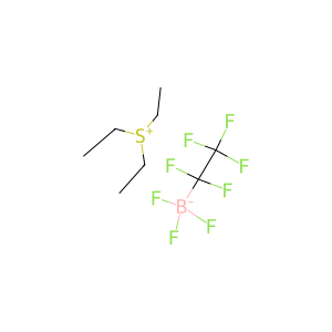 CC[S+](CC)CC.F[B-](F)(F)C(F)(F)C(F)(F)F